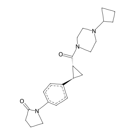 O=C([C@@H]1C[C@H]1c1ccc(N2CCCC2=O)cc1)N1CCN(C2CCC2)CC1